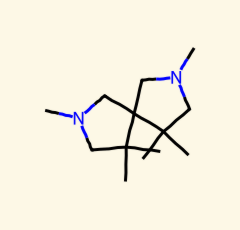 CN1CC(C)(C)C2(C1)CN(C)CC2(C)C